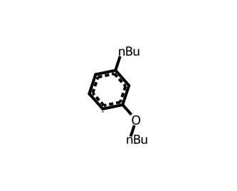 CCCCOc1[c]ccc(CCCC)c1